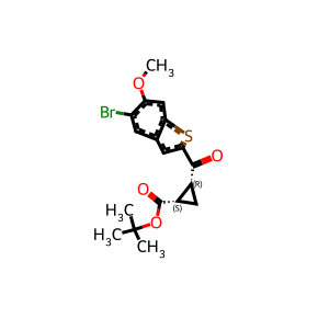 COc1cc2sc(C(=O)[C@@H]3C[C@@H]3C(=O)OC(C)(C)C)cc2cc1Br